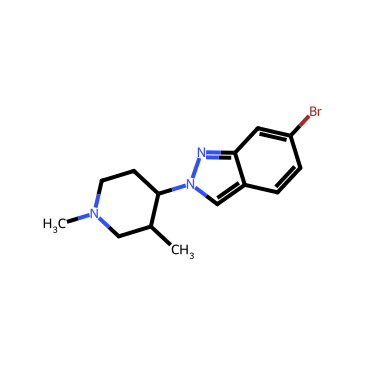 CC1CN(C)CCC1n1cc2ccc(Br)cc2n1